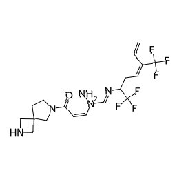 C=C/C(=C\CC(N=CN(N)/C=C\C(=O)N1CCC2(CNC2)C1)C(F)(F)F)C(F)(F)F